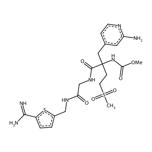 COC(=O)NC(CCS(C)(=O)=O)(Cc1ccnc(N)c1)C(=O)NCC(=O)NCc1ccc(C(=N)N)s1